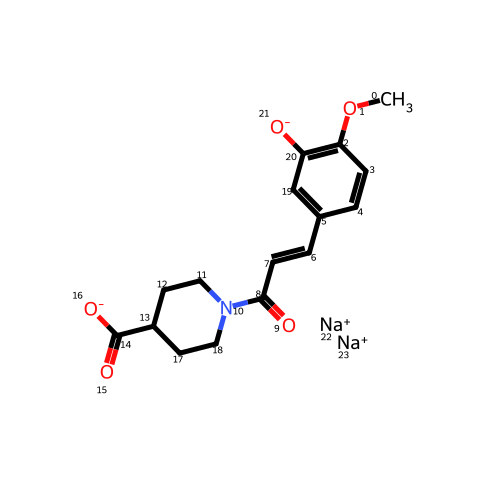 COc1ccc(/C=C/C(=O)N2CCC(C(=O)[O-])CC2)cc1[O-].[Na+].[Na+]